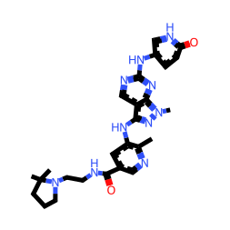 Cc1ncc(C(=O)NCCN2CCCC2(C)C)cc1Nc1nn(C)c2nc(Nc3ccc(=O)[nH]c3)ncc12